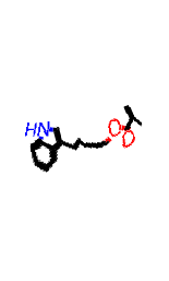 C=C(C)C(=O)OCCCc1c[nH]c2ccccc12